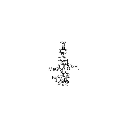 C=CC(=O)Nc1cc(Nc2cc(N3OCC[C@@H]3c3ccc(F)cc3F)ncn2)c(OC)cc1N1CCC(N2CCN(C3CC3)CC2)CC1